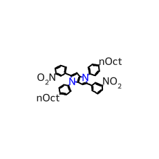 CCCCCCCCc1ccc(-n2c(-c3cccc([N+](=O)[O-])c3)cc3c2cc(-c2cccc([N+](=O)[O-])c2)n3-c2ccc(CCCCCCCC)cc2)cc1